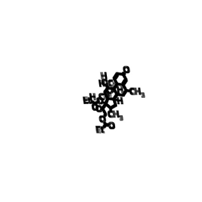 CCC(=O)OCC(=O)[C@@]1(OC(=O)CC)C(C)C[C@H]2[C@@H]3CC(C)C4=CC(=O)C=C[C@]4(C)[C@@]3(Br)C(O)C[C@@]21C